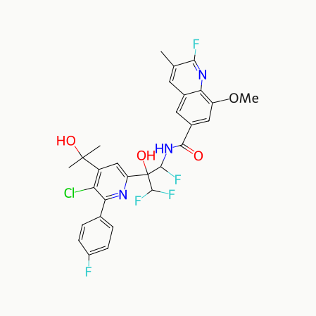 COc1cc(C(=O)NC(F)C(O)(c2cc(C(C)(C)O)c(Cl)c(-c3ccc(F)cc3)n2)C(F)F)cc2cc(C)c(F)nc12